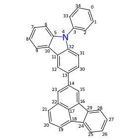 c1ccc(-n2c3ccccc3c3cc(-c4cc5c6c(cccc6c4)-c4ccccc4-5)ccc32)cc1